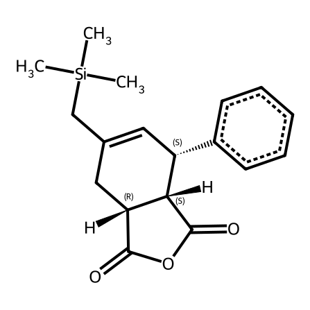 C[Si](C)(C)CC1=C[C@H](c2ccccc2)[C@@H]2C(=O)OC(=O)[C@@H]2C1